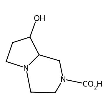 O=C(O)N1CCN2CCC(O)C2C1